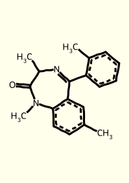 Cc1ccc2c(c1)C(c1ccccc1C)=NC(C)C(=O)N2C